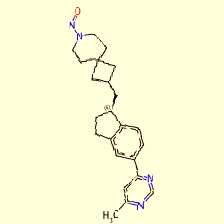 Cc1cc(-c2ccc3c(c2)CC[C@H]3CC2CC3(CCN(N=O)CC3)C2)ncn1